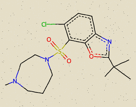 CN1CCCN(S(=O)(=O)c2c(Cl)ccc3nc(C(C)(C)C)oc23)CC1